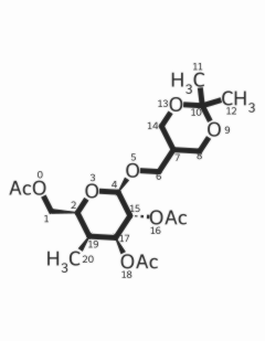 CC(=O)OC[C@H]1O[C@@H](OCC2COC(C)(C)OC2)[C@H](OC(C)=O)[C@@H](OC(C)=O)[C@H]1C